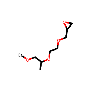 CCOCC(C)OCCOCC1CO1